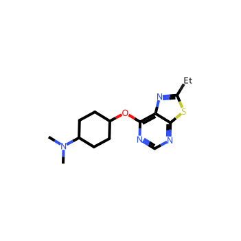 CCc1nc2c(OC3CCC(N(C)C)CC3)ncnc2s1